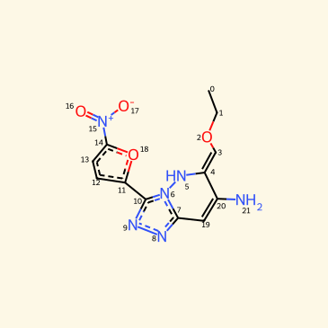 CCOC=C1Nn2c(nnc2-c2ccc([N+](=O)[O-])o2)C=C1N